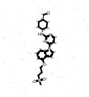 CS(=O)(=O)CCCOc1cccc2c1ccn2-c1ccnc(N[C@H]2CC[C@H](CCl)CC2)n1